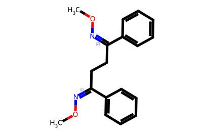 CO/N=C(/CC/C(=N/OC)c1ccccc1)c1ccccc1